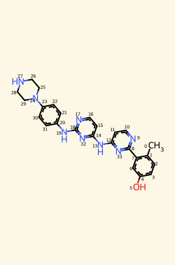 Cc1ccc(O)cc1-c1nccc(Nc2ccnc(Nc3ccc(N4CCNCC4)cc3)n2)n1